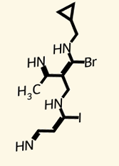 CC(=N)/C(CN/C(I)=C\C=N)=C(/Br)NCC1CC1